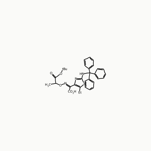 CCc1sc(NC(c2ccccc2)(c2ccccc2)c2ccccc2)nc1C(=NOC(C)C(=O)OC(C)(C)C)C(=O)O